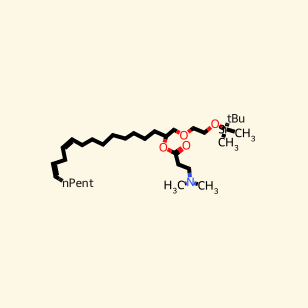 CCCCC/C=C\C/C=C\CCCCCCCCC(COCCO[Si](C)(C)C(C)(C)C)OC(=O)CCN(C)C